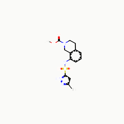 CC(C)c1cc(S(=O)(=O)Nc2cccc3c2CN(C(=O)OC(C)(C)C)CC3)[nH]n1